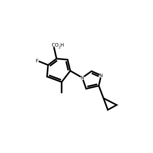 Cc1cc(F)c(C(=O)O)cc1-n1cnc(C2CC2)c1